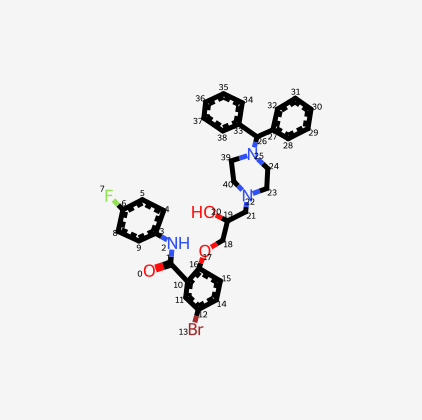 O=C(Nc1ccc(F)cc1)c1cc(Br)ccc1OCC(O)CN1CCN(C(c2ccccc2)c2ccccc2)CC1